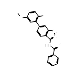 COc1ccc(F)c(-c2ccc3c(NC(=O)c4ccccc4)n[nH]c3c2)c1